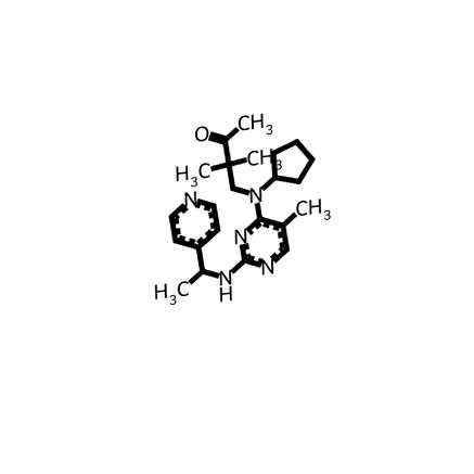 CC(=O)C(C)(C)CN(c1nc(NC(C)c2ccncc2)ncc1C)C1CCCC1